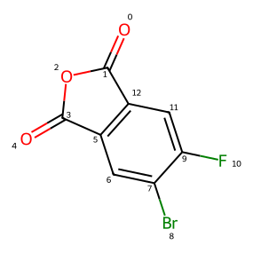 O=C1OC(=O)c2cc(Br)c(F)cc21